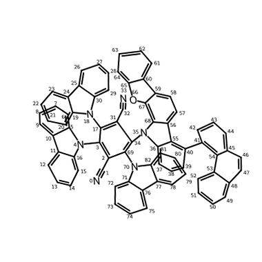 N#Cc1c(-n2c3ccccc3c3ccccc32)c(-n2c3ccccc3c3ccccc32)c(C#N)c(-n2c3cccc(-c4cccc5ccc6ccccc6c45)c3c3ccc4c5ccccc5oc4c32)c1-n1c2ccccc2c2ccccc21